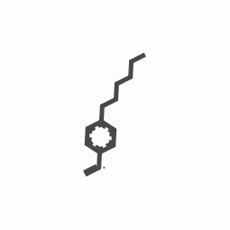 C=[C]c1ccc(CCCCCC)cc1